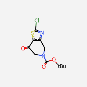 CC(C)(C)OC(=O)N1CC(=O)c2sc(Cl)nc2C1